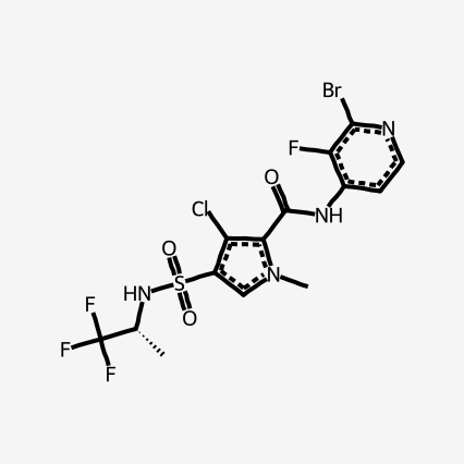 C[C@@H](NS(=O)(=O)c1cn(C)c(C(=O)Nc2ccnc(Br)c2F)c1Cl)C(F)(F)F